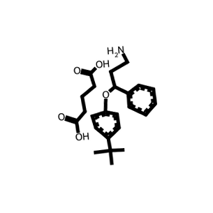 CC(C)(C)c1ccc(OC(CCN)c2ccccc2)cc1.O=C(O)CCCC(=O)O